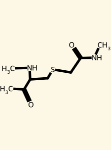 CNC(=O)CSCC(NC)C(C)=O